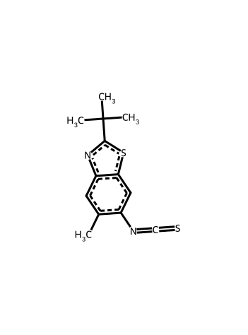 Cc1cc2nc(C(C)(C)C)sc2cc1N=C=S